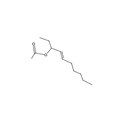 CCCCCC=CC(CC)OC(C)=O